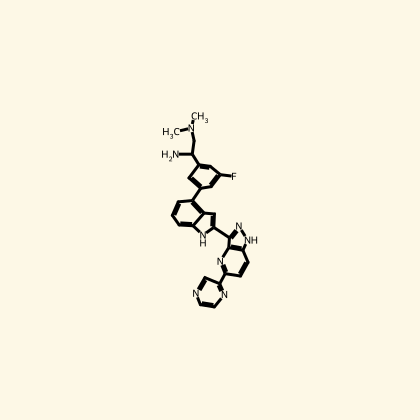 CN(C)CC(N)c1cc(F)cc(-c2cccc3[nH]c(-c4n[nH]c5ccc(-c6cnccn6)nc45)cc23)c1